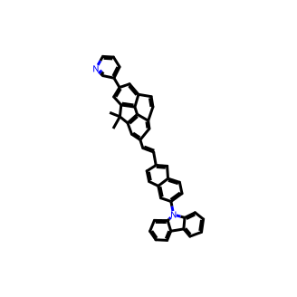 CC1(C)c2cc(/C=C/c3ccc4cc(-n5c6ccccc6c6ccccc65)ccc4c3)cc3ccc4cc(-c5cccnc5)cc1c4c23